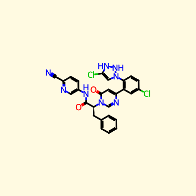 N#Cc1ccc(NC(=O)[C@H](Cc2ccccc2)n2cnc(-c3cc(Cl)ccc3N3C=C(Cl)NN3)cc2=O)cn1